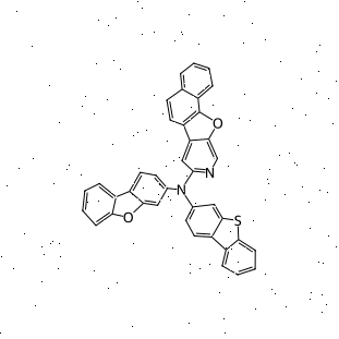 c1ccc2c(c1)ccc1c3cc(N(c4ccc5c(c4)oc4ccccc45)c4ccc5c(c4)sc4ccccc45)ncc3oc21